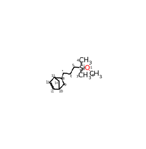 CO[Si](C)(C)CCCC1CC2C=CC1C2